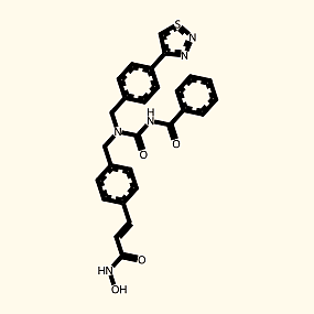 O=C(C=Cc1ccc(CN(Cc2ccc(-c3csnn3)cc2)C(=O)NC(=O)c2ccccc2)cc1)NO